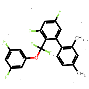 Cc1ccc(-c2cc(F)cc(F)c2C(F)(F)Oc2cc(F)cc(F)c2)c(C)c1